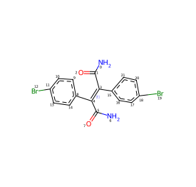 NC(=O)/C(=C(/C(N)=O)c1ccc(Br)cc1)c1ccc(Br)cc1